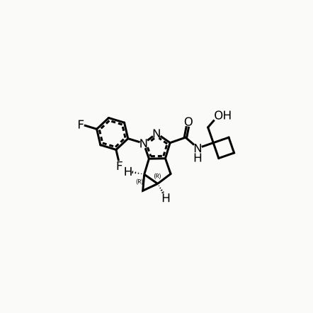 O=C(NC1(CO)CCC1)c1nn(-c2ccc(F)cc2F)c2c1C[C@H]1C[C@@H]21